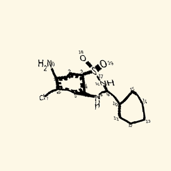 Nc1cc2c(cc1Cl)NC(C1CCCCC1)NS2(=O)=O